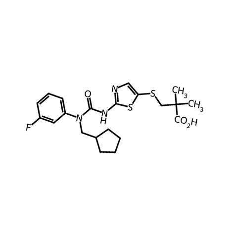 CC(C)(CSc1cnc(NC(=O)N(CC2CCCC2)c2cccc(F)c2)s1)C(=O)O